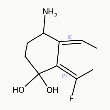 C/C=C1\C(=C(/C)F)C(O)(O)CCC1N